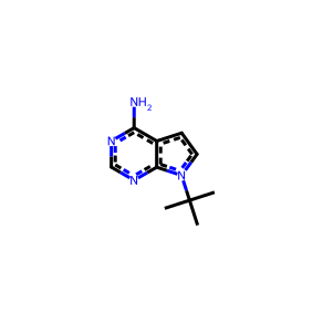 CC(C)(C)n1ccc2c(N)ncnc21